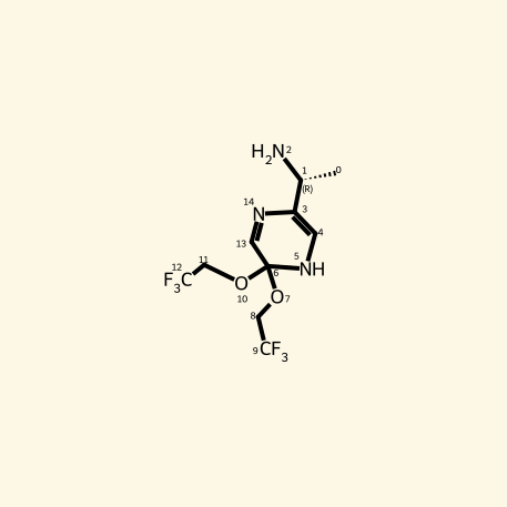 C[C@@H](N)C1=CNC(OCC(F)(F)F)(OCC(F)(F)F)C=N1